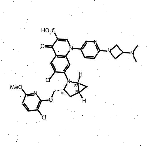 COc1ccc(Cl)c(OC[C@H]2C[C@H]3C[C@H]3N2c2cc3c(cc2Cl)c(=O)c(C(=O)O)cn3-c2ccc(N3CC(N(C)C)C3)nc2)n1